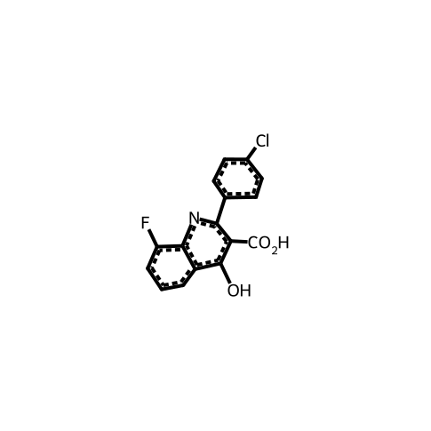 O=C(O)c1c(-c2ccc(Cl)cc2)nc2c(F)cccc2c1O